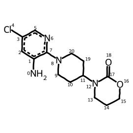 Nc1cc(Cl)cnc1N1CCC(N2CCCOC2=O)CC1